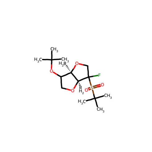 B[C@]12OCC(F)(S(=O)(=O)C(C)(C)C)[C@@]1(B)OCC2OC(C)(C)C